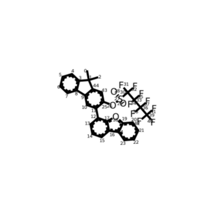 CC1(C)c2ccccc2-c2cc(-c3cccc4c3oc3ccccc34)c(OS(=O)(=O)C(F)(F)C(F)(F)C(F)(F)C(F)(F)F)cc21